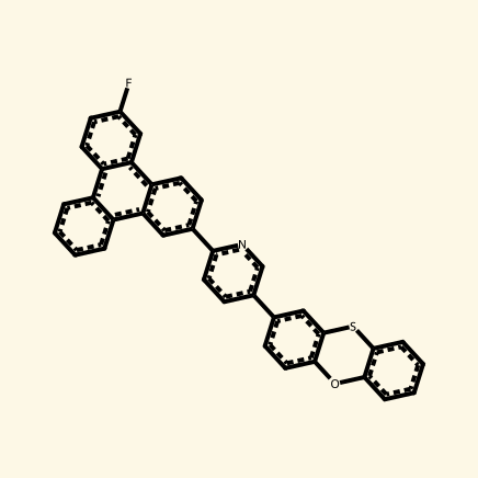 Fc1ccc2c3ccccc3c3cc(-c4ccc(-c5ccc6c(c5)Sc5ccccc5O6)cn4)ccc3c2c1